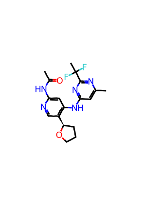 CC(=O)Nc1cc(Nc2cc(C)nc(C(C)(F)F)n2)c([C@H]2CCCO2)cn1